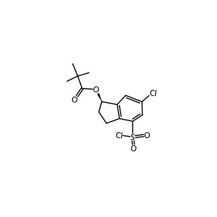 CC(C)(C)C(=O)O[C@@H]1CCc2c1cc(Cl)cc2S(=O)(=O)Cl